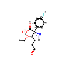 CCOC(CCC=O)C(NC)(C(=O)O)c1ccc(F)cc1